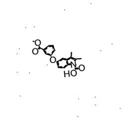 COC(=O)c1cccc(Oc2ccc3c(c2)c(C)c(C)n3C(=O)O)c1